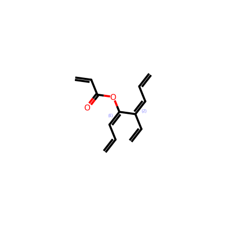 C=C/C=C(C=C)\C(=C/C=C)OC(=O)C=C